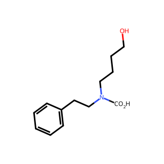 O=C(O)N(CCCCO)CCc1ccccc1